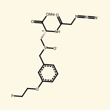 COC(=O)[C@@H](C[S+]([O-])Cc1cccc(OCCF)c1)NC(=O)CN=[N+]=[N-]